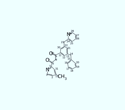 Cc1ccnc(C(=O)CC(=O)c2cc(Cc3ccccc3)cc(Cc3ccccn3)c2)c1